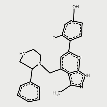 Cc1n[nH]c2nc(-c3ccc(O)cc3F)cc(CN3CCNCC3c3ccccc3)c12